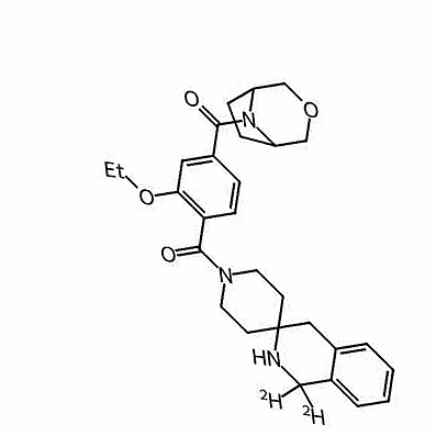 [2H]C1([2H])NC2(CCN(C(=O)c3ccc(C(=O)N4C5CCC4COC5)cc3OCC)CC2)Cc2ccccc21